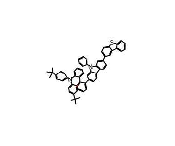 CC(C)(C)c1ccc(N(c2ccc(C(C)(C)C)cc2)c2ccccc2-c2ccccc2-c2ccc3c4ccc(-c5ccc6sc7ccccc7c6c5)cc4n(-c4ccccc4)c3c2)cc1